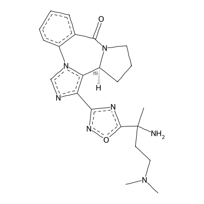 CN(C)CCC(C)(N)c1nc(-c2ncn3c2[C@@H]2CCCN2C(=O)c2ccccc2-3)no1